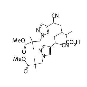 COC(=O)C(C)(C)Cn1cc(C(C#N)CC(CC(C#N)c2cnn(CC(C)(C)C(=O)OC)c2)C(C)C(=O)O)cn1